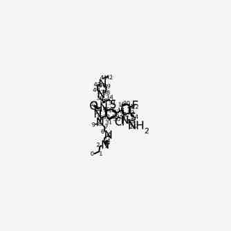 CCCN=C=NCCN(C)c1nc(=O)n2c3c(c(-c4ccc(F)c5sc(N)nc45)c(Cl)cc13)SC[C@@H]2CN1CCN(CC)CC1